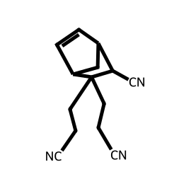 N#CCCC1(CCC#N)C2C=CC(C2)C1C#N